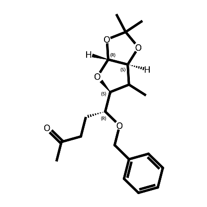 CC(=O)CC[C@@H](OCc1ccccc1)[C@H]1O[C@@H]2OC(C)(C)O[C@H]2C1C